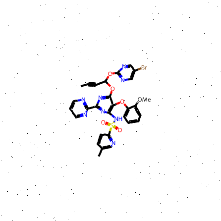 CC#CC(Oc1ncc(Br)cn1)Oc1nc(-c2ncccn2)nc(NS(=O)(=O)c2ccc(C)cn2)c1Oc1ccccc1OC